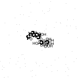 CC1=CC[C@@H]([C@@H](C)[C@H]2CC[C@@]3(C)[C@@H]4CC[C@H]5[C@](C)(C(=O)O)[C@@H](O[C@@H]6O[C@H](CO)[C@@H](O)[C@H](O)[C@H]6O[C@@H]6O[C@H](C(=O)O)[C@@H](O)[C@H](O)[C@H]6O)CC[C@@]56C[C@@]46CC[C@]23C)OC1=O